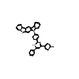 CC1C=CC(C2=NC(C3=CC=C(n4c5ccccc5c5cc6c(cc54)SC4C=CC=CC64)CC3)NC(c3ccccc3)=C2)=CC1